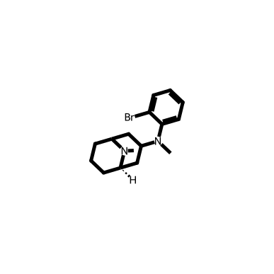 CN(c1ccccc1Br)C1CC2CCC[C@H](C1)N2C